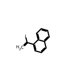 C=C(I)c1cccc2ccccc12